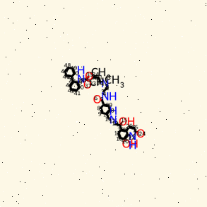 CN(CCNC(=O)c1ccc(CNC[C@@H](O)c2ccc(O)c3[nH]c(=O)ccc23)cc1)CCC(C)(C)OC(=O)Nc1ccccc1-c1ccccc1